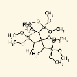 CO[Si](OC)(OC)C(C)C(O[SiH3])(C(C)[Si](OC)(OC)OC)C(C)[Si](OC)(OC)OC